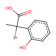 CC(Br)(C(=O)O)c1ccccc1O